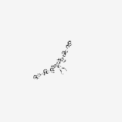 CCCCCCCCC1(CCCCCCCC)c2cc3c(cc2-c2cc4c(cc21)-c1c(cc(-c2ccc5c(c2)oc2cc(-c6ccc7c(c6)C(C)(C)c6ccccc6-7)ccc25)c2ccccc12)C4(C)C)C(C)(C)c1cc(-c2ccc4c(c2)oc2cc(-c5ccc6c(c5)C(C)(C)c5ccccc5-6)ccc24)c2ccccc2c1-3